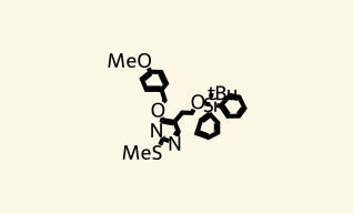 COc1ccc(COc2nc(SC)ncc2CCO[Si](c2ccccc2)(c2ccccc2)C(C)(C)C)cc1